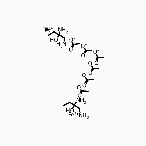 CC(=O)[O-].CC(=O)[O-].CC(=O)[O-].CC(=O)[O-].CC(=O)[O-].CC(=O)[O-].CCC(N)(O)CN.CCC(N)(O)CN.[Fe+2].[Fe+2].[Fe+2]